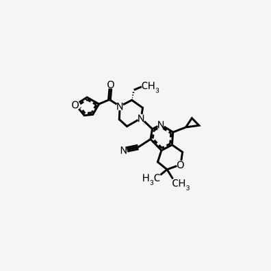 CC[C@@H]1CN(c2nc(C3CC3)c3c(c2C#N)CC(C)(C)OC3)CCN1C(=O)c1ccoc1